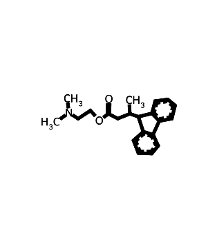 CC(CC(=O)OCCN(C)C)C1c2ccccc2-c2ccccc21